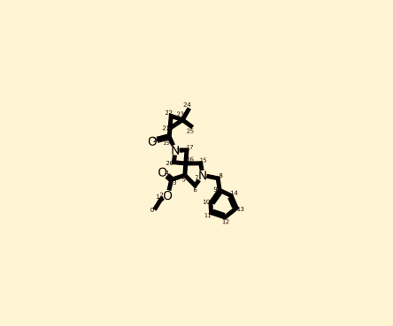 CCOC(=O)C1CN(Cc2ccccc2)CC12CN(C(=O)C1CC1(C)C)C2